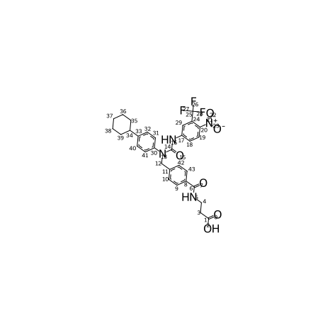 O=C(O)CCNC(=O)c1ccc(CN(C(=O)Nc2ccc([N+](=O)[O-])c(C(F)(F)F)c2)c2ccc(C3CCCCC3)cc2)cc1